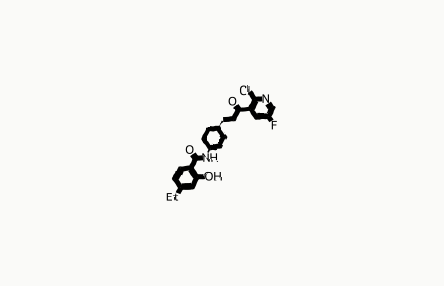 CCc1ccc(C(=O)N[C@H]2CC[C@@H](CCC(=O)c3cc(F)cnc3Cl)CC2)c(O)c1